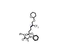 CC(C)OC(=O)[C@H](C)NP(=O)(CC/C=C(/COC1CCCCO1)C(F)(F)F)Oc1ccccc1